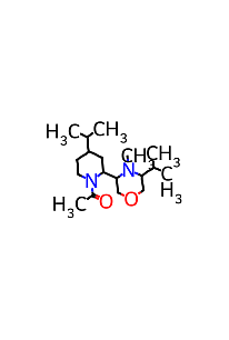 CC(=O)N1CCC(C(C)C)CC1C1COCC(C(C)C)N1C